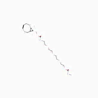 CNC(=O)OCCOCCOCCOCCNC(=O)OC[C@@H]1[C@@H]2CC/C=C\CC[C@@H]21